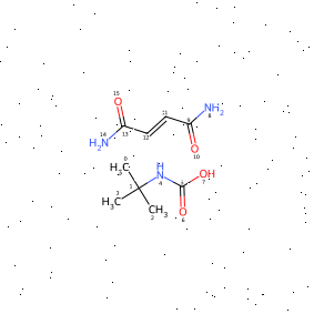 CC(C)(C)NC(=O)O.NC(=O)C=CC(N)=O